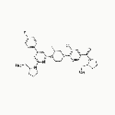 CC1CN(c2ncc(C(=O)N3CCCC3CO)cc2Cl)CCN1c1cc(-c2ccc(F)cc2)nc(N2CCCC2CO)n1